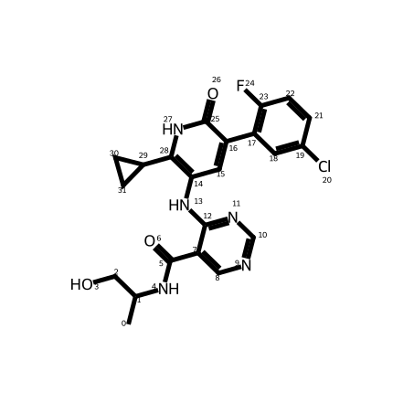 CC(CO)NC(=O)c1cncnc1Nc1cc(-c2cc(Cl)ccc2F)c(=O)[nH]c1C1CC1